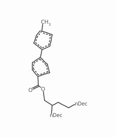 CCCCCCCCCCCCC(CCCCCCCCCC)COC(=O)c1ccc(-c2ccc(C)cc2)cc1